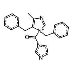 CC1=C(Cc2ccccc2)[N+](Cc2ccccc2)(C(=O)n2ccnc2)C=N1